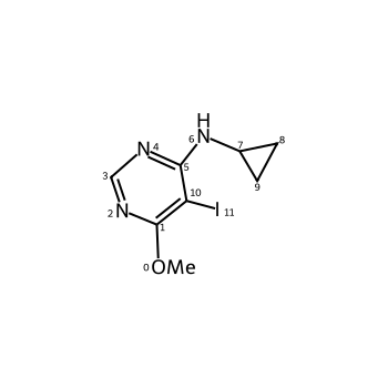 COc1ncnc(NC2CC2)c1I